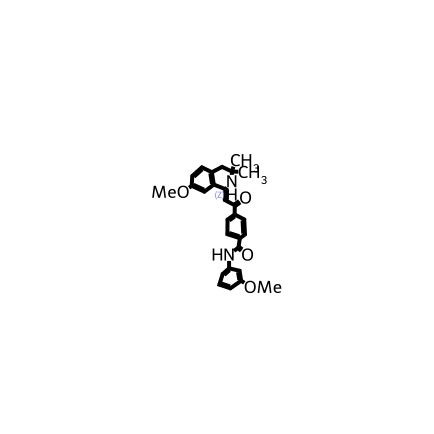 COc1cccc(NC(=O)c2ccc(C(=O)/C=C3\NC(C)(C)Cc4ccc(OC)cc43)cc2)c1